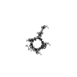 CNC(=O)C[C@@H]1NC(=O)c2csc(n2)-c2ccc(-c3nc(NC(=O)CCCCC(=O)OC)cs3)nc2-c2csc(n2)-c2csc(n2)C([C@@H](OC(C)=O)c2ccccc2)NC(=O)CNC(=O)c2nc(sc2COC)[C@@H](C(C)C)NC(=O)c2nc1sc2C